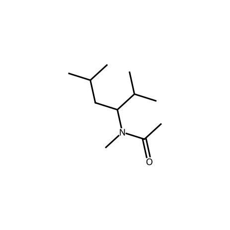 CC(=O)N(C)C(CC(C)C)C(C)C